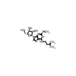 C=C(C)CCNc1nc(SC)nc2c1ncn2[C@@H]1O[C@H](CO)[C@@H](O)[C@H]1O